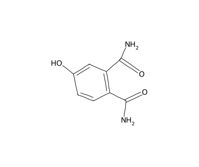 NC(=O)c1ccc(O)cc1C(N)=O